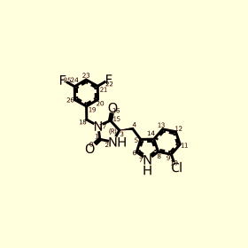 O=C1N[C@H](Cc2c[nH]c3c(Cl)cccc23)C(=O)N1Cc1cc(F)cc(F)c1